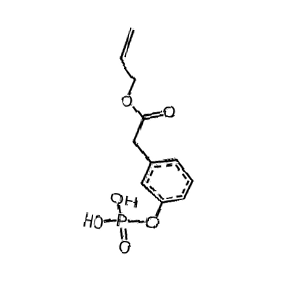 C=CCOC(=O)Cc1cccc(OP(=O)(O)O)c1